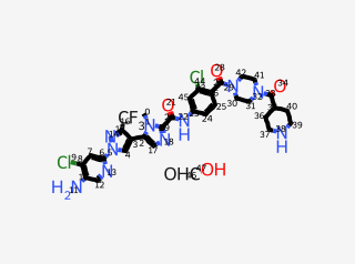 Cn1c(-c2cn(-c3cc(Cl)c(N)cn3)nc2C(F)(F)F)cnc1C(=O)Nc1ccc(C(=O)N2CCN(C(=O)C3CCNCC3)CC2)c(Cl)c1.O=CO